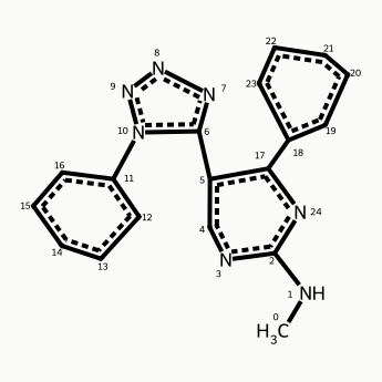 CNc1ncc(-c2nnnn2-c2ccccc2)c(-c2ccccc2)n1